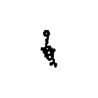 COC(=O)C[C@H]1CC[C@@H]2O[C@H]3C(=O)[C@@H](CCOCc4ccccc4)O[C@H]3C(=O)[C@H]2O1